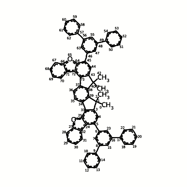 CC1(C)c2cc(-c3cc(-c4ccccc4)cc(-c4ccccc4)c3)c3c(oc4ccccc43)c2-c2ccc3c(c21)C(C)(C)c1cc(-c2cc(-c4ccccc4)cc(-c4ccccc4)c2)c2oc4ccccc4c2c1-3